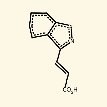 O=C(O)C=Cc1nsc2ccccc12